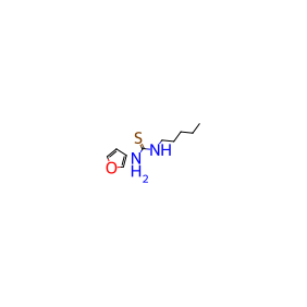 CCCCCNC(N)=S.c1ccoc1